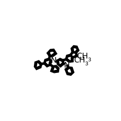 CC1(C)c2ccccc2-c2cc3c4cc(-n5c6ccccc6c6cc(-c7ccccc7)cc(-c7ccccc7)c65)ccc4n(-c4ccccc4)c3cc21